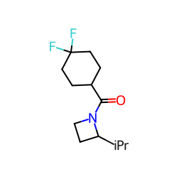 CC(C)C1CCN1C(=O)C1CCC(F)(F)CC1